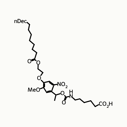 CCCCCCCCCCCCCCCCCC(=O)OCCOc1cc([N+](=O)[O-])c(C(C)OC(=O)NCCCCCC(=O)O)cc1OC